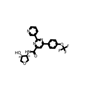 O=C(N[C@H]1COC[C@@H]1O)c1cc(-c2ccc(OC(F)(F)F)cc2)nc(-c2cccnc2)n1